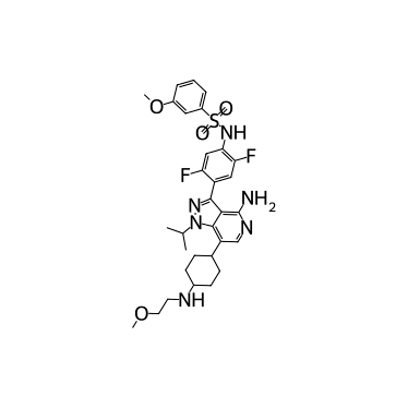 COCCNC1CCC(c2cnc(N)c3c(-c4cc(F)c(NS(=O)(=O)c5cccc(OC)c5)cc4F)nn(C(C)C)c23)CC1